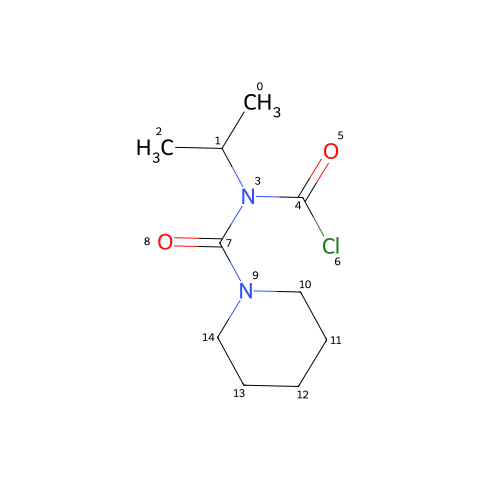 CC(C)N(C(=O)Cl)C(=O)N1CCCCC1